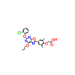 CCCOc1nc(Oc2ccccc2Cl)nc2oc(-c3cc(C)c(OCC(=O)O)c(C)c3)nc12